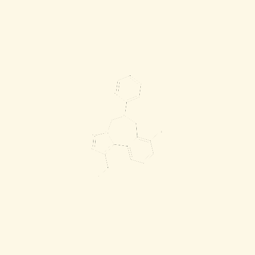 ClCc1nnn2c1-c1cccc(Br)c1CN(c1ccccn1)C2